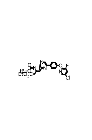 CCOC(=O)CC(Cc1cncc(-c2ccc(Oc3ncc(Cl)cc3F)cc2)n1)NC(=O)OC(C)(C)C